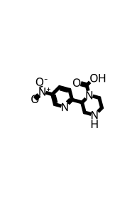 O=C(O)N1CCNCC1c1ccc([N+](=O)[O-])cn1